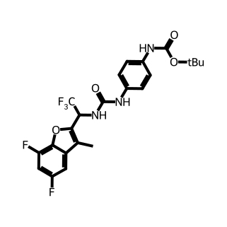 Cc1c(C(NC(=O)Nc2ccc(NC(=O)OC(C)(C)C)cc2)C(F)(F)F)oc2c(F)cc(F)cc12